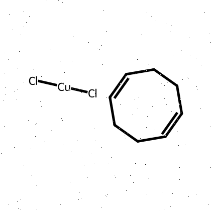 C1=CCCC=CCC1.[Cl][Cu][Cl]